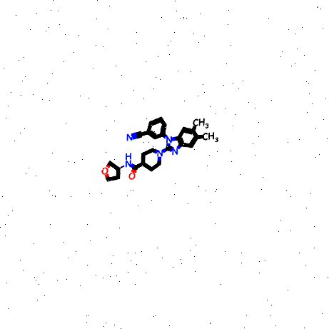 Cc1cc2nc(N3CCC(C(=O)N[C@@H]4CCOC4)CC3)n(-c3cccc(C#N)c3)c2cc1C